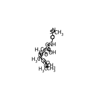 Cc1ncsc1-c1ccc(CCNC(=O)[C@@H]2C[C@@H](O)CN2C[C@@H](C)[C@H](C=O)c2cc(N(C)C3CCN(C(=O)OC(C)(C)C)CC3)no2)cc1